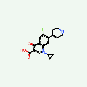 O=C(O)c1cn(C2CC2)c2cc(C3=CCNCC3)c(F)cc2c1=O